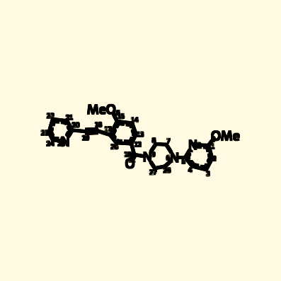 COc1cccc(N2CCN(C(=O)c3ccc(OC)c(C#Cc4ccccn4)c3)CC2)n1